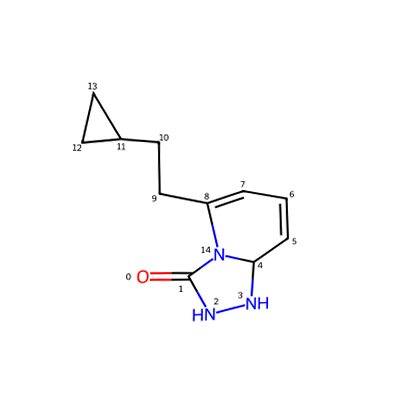 O=C1NNC2C=CC=C(CCC3CC3)N12